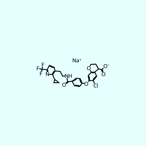 O=C(NCCc1ccc(C(F)(F)F)nc1C1CC1)c1ccc(Oc2cc3c(cc2Cl)C(C(=O)[O-])CCO3)cc1.[Na+]